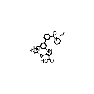 CCC[C@@H]1CCCCN1C(=O)c1cccc(-c2cc(C)cc(-n3ncc(C(=O)O)c3[C@@H]3C[C@H]3c3cn(C)nn3)c2)c1